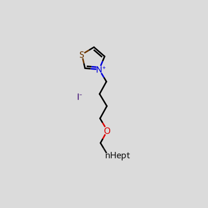 CCCCCCCCOCCCC[n+]1ccsc1.[I-]